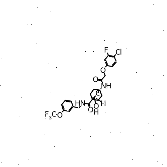 O=C(COc1ccc(Cl)c(F)c1)NC12CCC(C(=O)NCc3cccc(OC(F)(F)F)c3)(CC1)[C@@H](O)C2